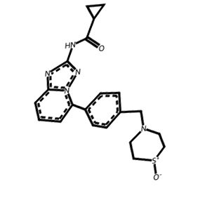 O=C(Nc1nc2cccc(-c3ccc(CN4CC[S+]([O-])CC4)cc3)n2n1)C1CC1